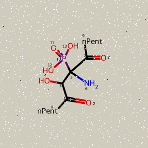 CCCCCC(=O)C(O)C(N)(C(=O)CCCCC)P(=O)(O)O